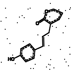 O=c1occcc1CC=Cc1ccc(O)cc1